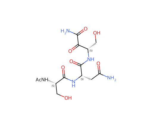 CC(=O)N[C@@H](CO)C(=O)N[C@@H](CC(N)=O)C(=O)N[C@@H](CO)C(=O)C(N)=O